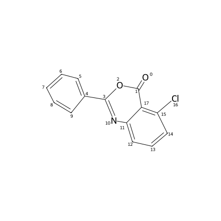 O=c1oc(-c2ccccc2)nc2cccc(Cl)c12